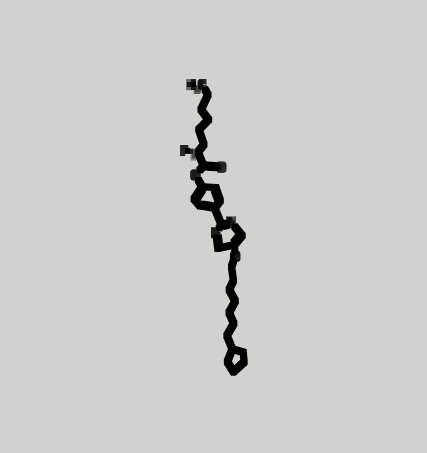 CCCCCC[C@@H](F)C(=O)Oc1ccc(-c2ncc(OCCCCCCCC3CCCC3)cn2)cc1